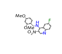 COc1ccc(CNc2c([N+](=O)[O-])cnc3ccc(F)cc23)c(OC)c1